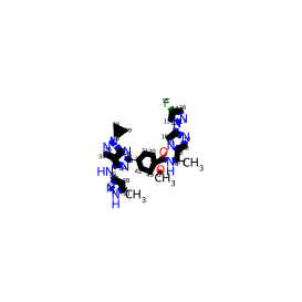 CO[C@]1(C(=O)N[C@@H](C)c2cnc(-n3cc(F)cn3)cn2)CC[C@@H](c2nc(Nc3cc(C)[nH]n3)c3cnn(C4CC4)c3n2)CC1